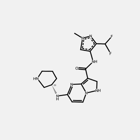 Cn1cc(NC(=O)C2=C3N=C(N[C@H]4CCCNC4)C=CN3NC2)c(C(F)F)n1